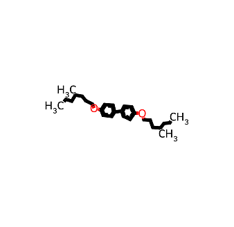 CCCC(C)CCCOc1ccc(-c2ccc(OCCCC(C)CCC)cc2)cc1